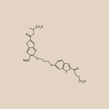 COc1cc2sc(C(=O)CC(C)C(=O)O)cc2cc1OCCCOc1ccc2cc(C(=O)CCC(=O)O)sc2c1